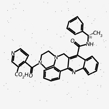 C[C@H](NC(=O)c1c(CN2CCN(C(=O)c3ccncc3C(=O)O)CC2)c(-c2ccccc2)nc2ccccc12)c1ccccc1